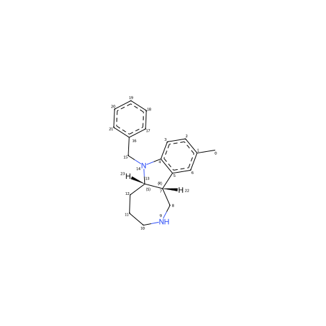 Cc1ccc2c(c1)[C@@H]1CNCCC[C@@H]1N2Cc1ccccc1